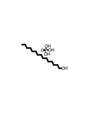 CCCCCCCCCCCCCCCO.O=P(O)(O)O